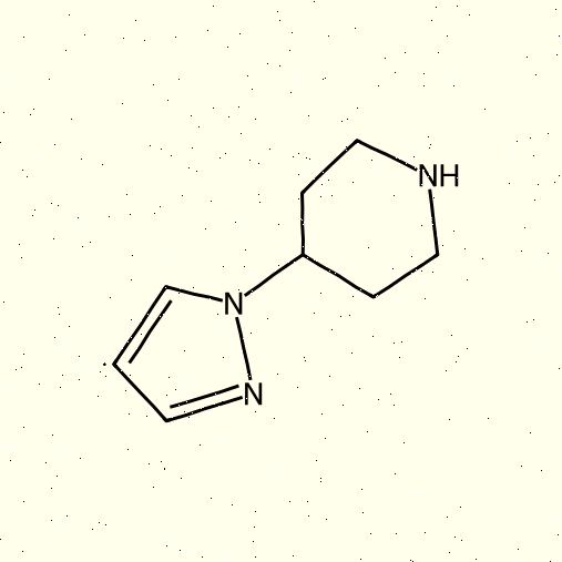 [c]1cnn(C2CCNCC2)c1